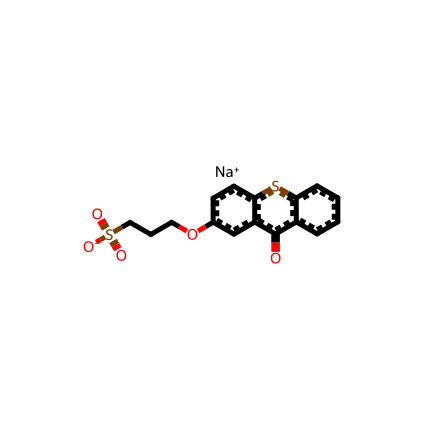 O=c1c2ccccc2sc2ccc(OCCCS(=O)(=O)[O-])cc12.[Na+]